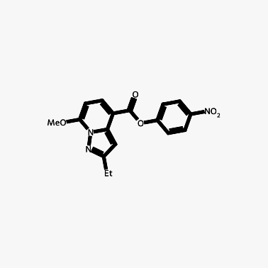 CCc1cc2c(C(=O)Oc3ccc([N+](=O)[O-])cc3)ccc(OC)n2n1